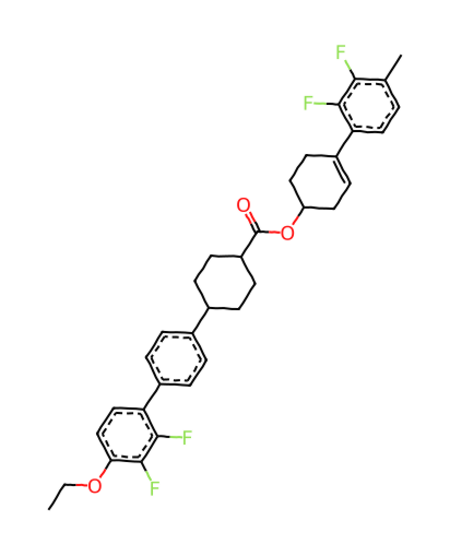 CCOc1ccc(-c2ccc(C3CCC(C(=O)OC4CC=C(c5ccc(C)c(F)c5F)CC4)CC3)cc2)c(F)c1F